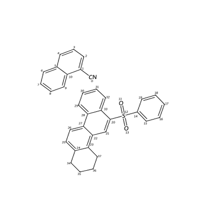 N#Cc1cccc2ccccc12.O=S(=O)(c1ccccc1)c1cc2c3c(ccc2c2ccccc12)CCCC3